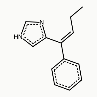 CCC=C(c1ccccc1)c1c[nH]cn1